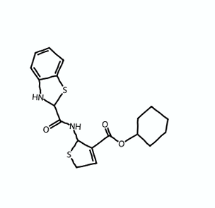 O=C(OC1CCCCC1)C1=CCSC1NC(=O)C1Nc2ccccc2S1